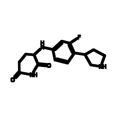 O=C1CCC(Nc2ccc(C3CCNC3)c(F)c2)C(=O)N1